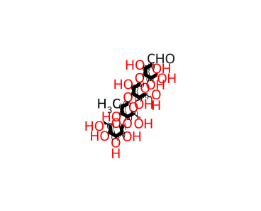 C[C@H]1[C@H](O[C@H]2[C@@H](O)[C@@H](CO)O[C@@H](O[C@@H]([C@H](O)[C@@H](O)C=O)[C@H](O)CO)[C@@H]2O)O[C@H](CO)[C@@H](O[C@@H]2O[C@H](CO)[C@H](O)[C@H](O)[C@H]2O)[C@@H]1O